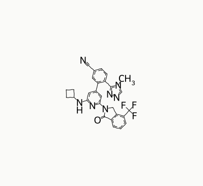 Cn1cnnc1-c1ccc(C#N)cc1-c1cc(NC2CCC2)nc(N2Cc3c(cccc3C(F)(F)F)C2=O)c1